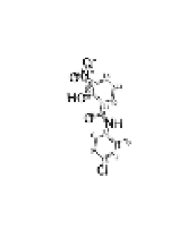 Cc1cc(Cl)ccc1NC(=O)c1cccc([N+](=O)[O-])c1O